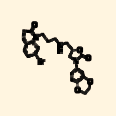 O=C1OC(CNCCCn2c(=O)ccc3ccc(Br)cc32)CN1c1ccc2c(c1)OCCO2